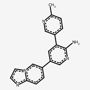 Cc1ccc(-c2cc(-c3ccc4nccn4c3)cnc2N)cn1